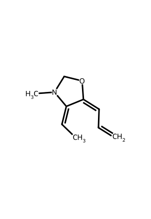 C=C/C=C1/OCN(C)/C1=C/C